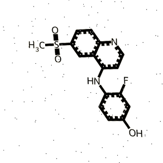 CS(=O)(=O)c1ccc2nccc(Nc3ccc(O)cc3F)c2c1